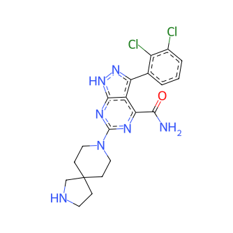 NC(=O)c1nc(N2CCC3(CCNC3)CC2)nc2[nH]nc(-c3cccc(Cl)c3Cl)c12